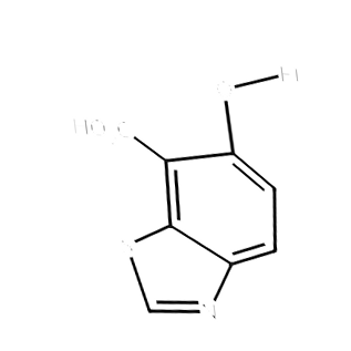 CCOc1ccc2ncsc2c1C(=O)O